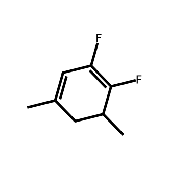 CC1=CC(F)=C(F)C(C)C1